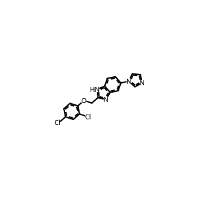 Clc1ccc(OCc2nc3cc(-n4ccnc4)ccc3[nH]2)c(Cl)c1